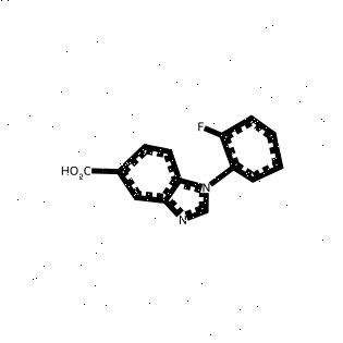 O=C(O)c1ccc2c(c1)ncn2-c1ccccc1F